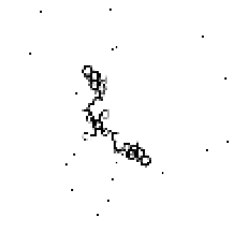 CC(CCC[C@@H](C)[C@H]1CC[C@H]2[C@@H]3CCC4CCCC[C@]4(C)[C@H]3CC[C@]12C)COc1cc(CCl)c(OCC(C)CCC[C@@H](C)[C@H]2CC[C@H]3[C@@H]4CCC5CCCC[C@]5(C)[C@H]4CC[C@]23C)cc1CCl